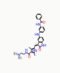 CCN(CC)CCNC(=O)c1c(C)[nH]c(/C=C2\C(=O)Nc3ccc(Nc4cccc(NC(=O)c5ccccc5)c4)cc32)c1C